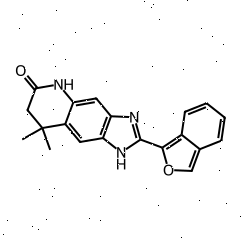 CC1(C)CC(=O)Nc2cc3nc(-c4occ5ccccc45)[nH]c3cc21